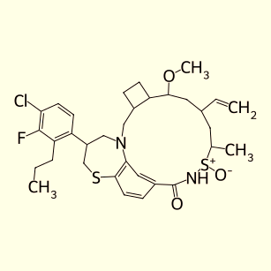 C=CC1CC(OC)C2CCC2CN2CC(c3ccc(Cl)c(F)c3CCC)CSc3ccc(cc32)C(=O)N[S+]([O-])C(C)C1